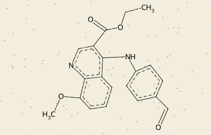 CCOC(=O)c1cnc2c(OC)cccc2c1Nc1ccc(C=O)cc1